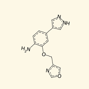 Nc1ccc(-c2cn[nH]c2)cc1OCc1cocn1